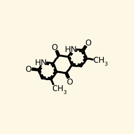 Cc1cc(=O)[nH]c2c1C(=O)c1cc(C)c(=O)[nH]c1C2=O